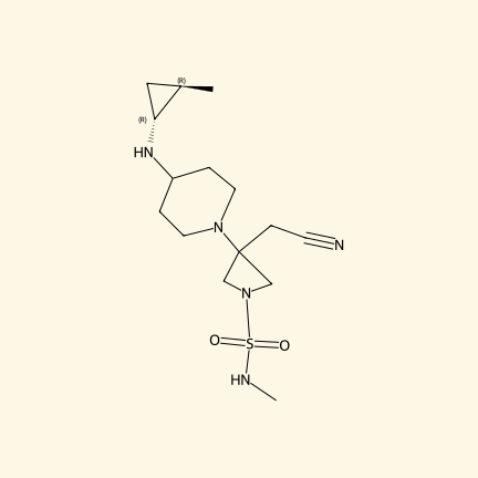 CNS(=O)(=O)N1CC(CC#N)(N2CCC(N[C@@H]3C[C@H]3C)CC2)C1